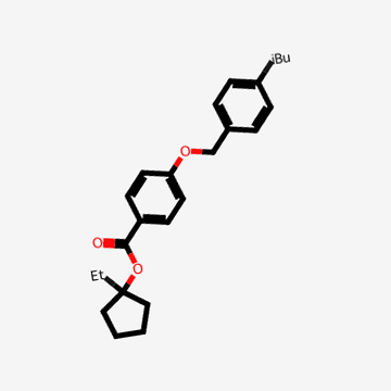 CCC(C)c1ccc(COc2ccc(C(=O)OC3(CC)CCCC3)cc2)cc1